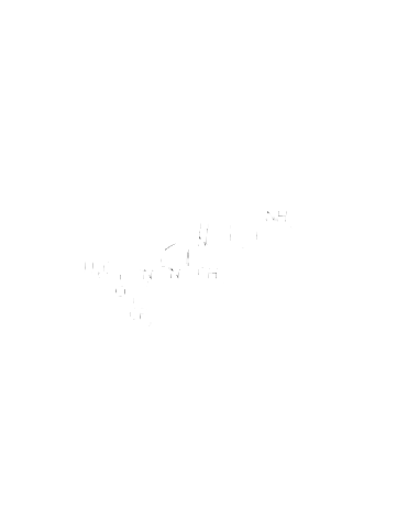 Cc1nc(N2CC(C)OC(C(F)(F)F)C2)ccc1NC[C@H]1CC[C@@H](N)CC1